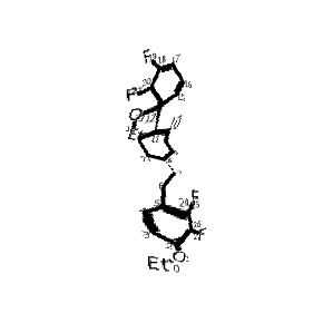 CCOc1ccc(CC[C@H]2CC[C@H](C3(OCC)C=CC=C(F)C3F)CC2)c(F)c1F